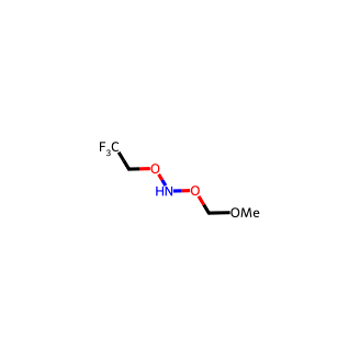 COCONOCC(F)(F)F